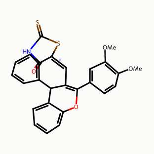 COc1ccc(C2=C(/C=C3/SC(=S)NC3=O)C(c3ccccc3)c3ccccc3O2)cc1OC